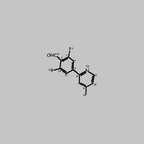 O=Cc1c(F)cc(-c2cc(F)ccn2)cc1F